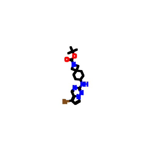 CC(C)(C)OC(=O)N1CC2(CCC(Nc3ncc4c(Br)ccn4n3)CC2)C1